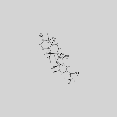 C[C@@H]1CC(C(O)C(C)(C)C)OC2[C@H]1[C@@]1(C)CC[C@@]34C[C@@]35CC[C@H](O)C(C)(C)[C@@H]5CCC4[C@]1(C)[C@H]2O